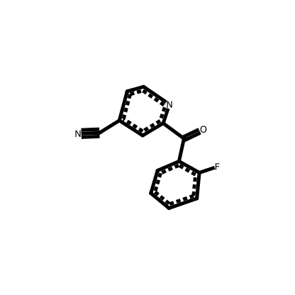 N#Cc1ccnc(C(=O)c2ccccc2F)c1